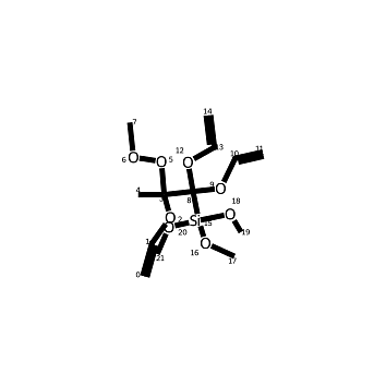 C=COC(C)(OOC)C(OC=C)(OC=C)[Si](OC)(OC)OC